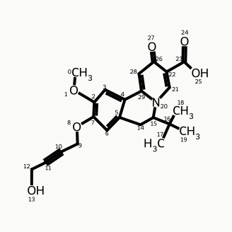 COc1cc2c(cc1OCC#CCO)CC(C(C)(C)C)n1cc(C(=O)O)c(=O)cc1-2